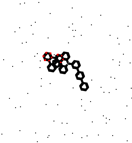 c1ccc(-c2ccc(-c3cccc(N(c4ccccc4-c4cccc(-c5ccccc5)c4-c4ccccc4-c4ccccc4)c4cccc5oc6ccccc6c45)c3)cc2)cc1